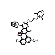 CC1COCC(C)N1CCCOc1nc(N2CC3CCC(C2)N3)c2cc(Cl)c(-c3cc(O)cc4ccc(F)c(C56CC(C5)C6)c34)c(F)c2n1